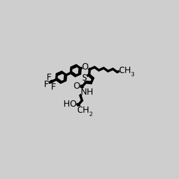 C=C(O)CCNC(=O)c1ccc(C(CCCCCCC)Oc2ccc(-c3ccc(C(F)(F)F)cc3)cc2)s1